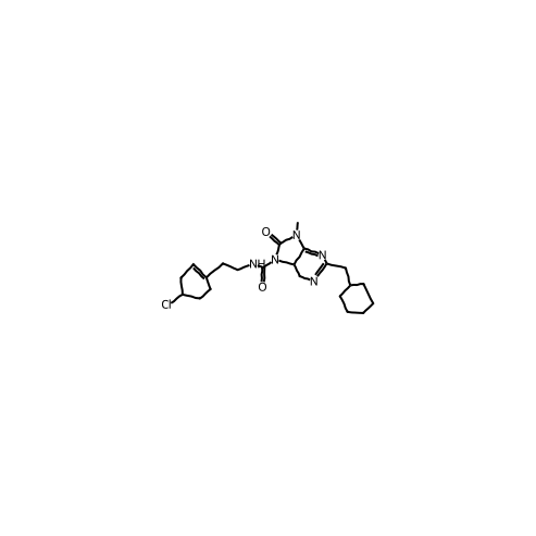 CN1C(=O)N(C(=O)NCCC2=CCC(Cl)CC2)C2CN=C(CC3CCCCC3)N=C21